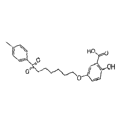 Cc1ccc(S(=O)(=O)CCCCCCOc2ccc(O)c(C(=O)O)c2)cc1